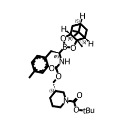 Cc1ccc(C[C@H](NC(=O)OC[C@H]2CCCN(C(=O)OC(C)(C)C)C2)B2O[C@@H]3C[C@@H]4C[C@@H](C4(C)C)[C@]3(C)O2)cc1